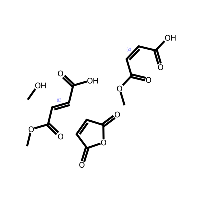 CO.COC(=O)/C=C/C(=O)O.COC(=O)/C=C\C(=O)O.O=C1C=CC(=O)O1